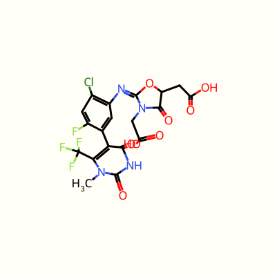 Cn1c(C(F)(F)F)c(-c2cc(N=C3OC(CC(=O)O)C(=O)N3CC(=O)O)c(Cl)cc2F)c(=O)[nH]c1=O